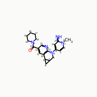 Cn1ccc(N2CC3CC3c3cc(C(=O)N4CCCCC4)cnc32)cc1=N